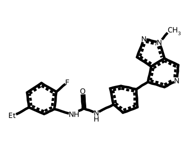 CCc1ccc(F)c(NC(=O)Nc2ccc(-c3cncc4c3cnn4C)cc2)c1